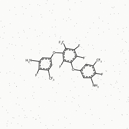 Nc1cc(Oc2c(F)c(F)c(C(F)(F)F)c(Oc3cc(N)c(F)c(C(F)(F)F)c3)c2F)cc(C(F)(F)F)c1F